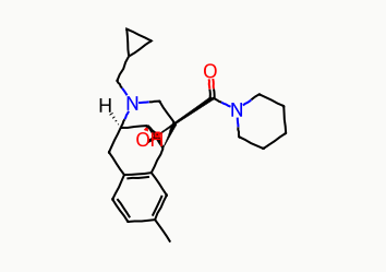 Cc1ccc2c(c1)[C@]13CCN(CC4CC4)[C@H](C2)[C@]1(O)C[C@H](C(=O)N1CCCCC1)C3